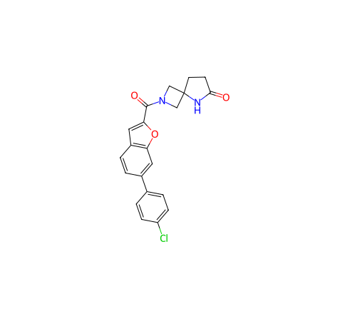 O=C1CCC2(CN(C(=O)c3cc4ccc(-c5ccc(Cl)cc5)cc4o3)C2)N1